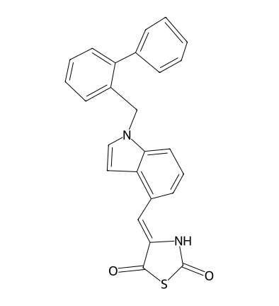 O=C1NC(=Cc2cccc3c2ccn3Cc2ccccc2-c2ccccc2)C(=O)S1